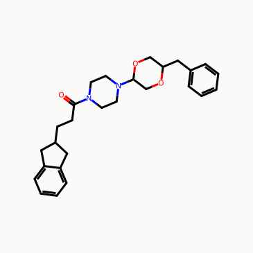 O=C(CCC1Cc2ccccc2C1)N1CCN(C2COC(Cc3ccccc3)CO2)CC1